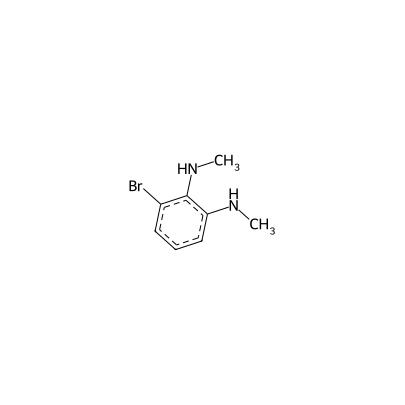 CNc1cccc(Br)c1NC